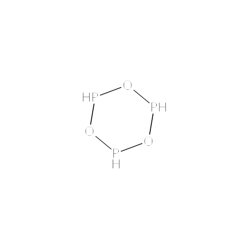 O1POPOP1